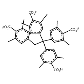 Cc1cc(CC(c2cc(C)c(C(=O)O)c(C)c2)(c2cc(C)c(C(=O)O)c(C)c2)c2cc(C)c(C(=O)O)c(C)c2)cc(C)c1C(=O)O